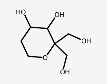 OCC1(CO)OCCC(O)C1O